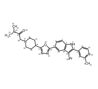 Cc1cc(-c2[nH]c3ccc(-c4nnc(C5CCN(CC(=O)N(C)C)CC5)o4)cc3c2C(C)C)ccn1